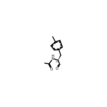 CC(=O)N[C@H]([C]=O)Cc1ccc(C)cc1